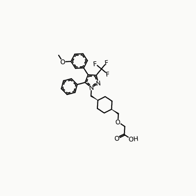 COc1cccc(-c2c(C(F)(F)F)nn(C[C@H]3CC[C@@H](COCC(=O)O)CC3)c2-c2ccccc2)c1